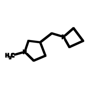 CN1CCC(CN2CCC2)C1